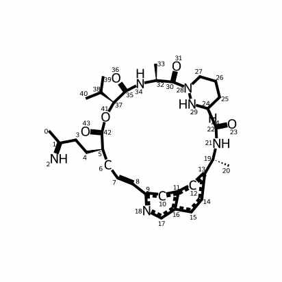 CC(=N)CC[C@@H]1C/C=C/c2cc3cc(ccc3cn2)[C@@H](C)NC(=O)[C@@H]2CCCN(N2)C(=O)[C@H](C)NC(=O)[C@H](C(C)C)OC1=O